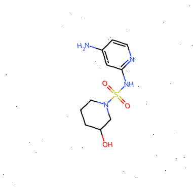 Nc1ccnc(NS(=O)(=O)N2CCCC(O)C2)c1